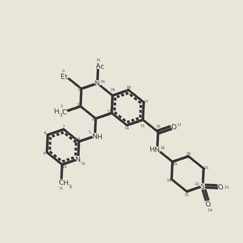 CCC1C(C)C(Nc2cccc(C)n2)c2cc(C(=O)NC3CCS(=O)(=O)CC3)ccc2N1C(C)=O